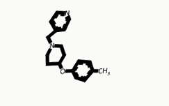 Cc1ccc(OC2CCN(Cc3ccncc3)CC2)cc1